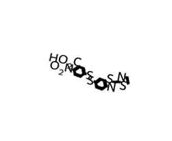 O=C(O)c1cc(SSc2ccc3nc(C4=NCCS4)sc3c2)ccc1[N+](=O)[O-]